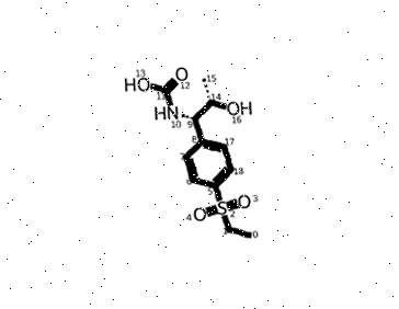 CCS(=O)(=O)c1ccc([C@H](NC(=O)O)[C@H](C)O)cc1